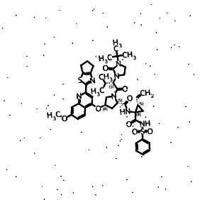 C=C[C@@H]1C[C@]1(NC(=O)[C@@H]1C[C@@H](Oc2cc(-c3nc4c(s3)CCC4)nc3cc(OC)ccc23)CN1C(=O)[C@H](C(C)C)N1CCN(C(C)(C)C)C1=O)C(=O)NS(=O)(=O)c1ccccc1